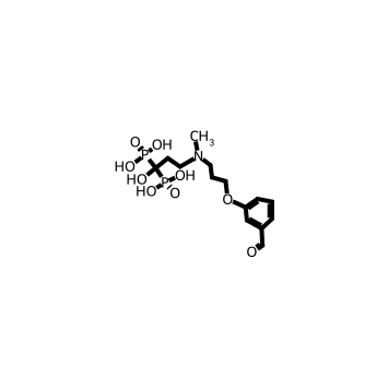 CN(CCCOc1cccc(C=O)c1)CCC(O)(P(=O)(O)O)P(=O)(O)O